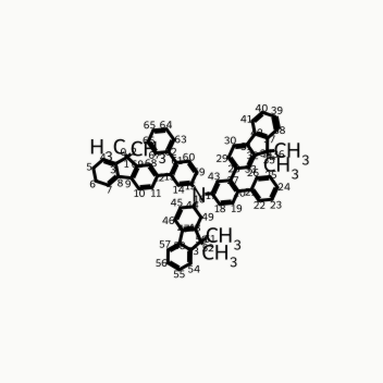 CC1(C)C2=CCCC=C2c2ccc(-c3cc(N(c4ccc(-c5ccccc5)c(-c5ccc6c(c5)C(C)(C)c5c#cccc5-6)c4)C4C=CC5=C(C4)C(C)(C)c4ccccc45)ccc3-c3ccccc3)cc21